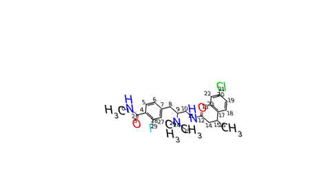 CNC(=O)c1ccc(CC(CNC(=O)CC(C)c2ccc(Cl)cc2)N(C)C)cc1F